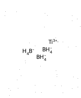 [BH4-].[BH4-].[BH4-].[Ti+3]